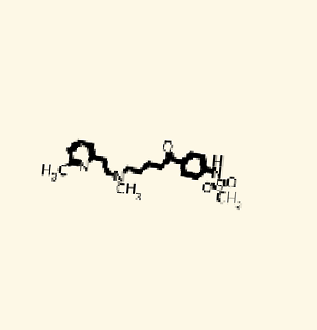 Cc1cccc(CCN(C)CCCCC(=O)c2ccc(NS(C)(=O)=O)cc2)n1